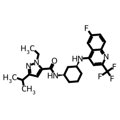 CCn1nc(C(C)C)cc1C(=O)N[C@@H]1CCC[C@H](Nc2cc(C(F)(F)F)nc3ccc(F)cc23)C1